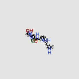 CC1(C)CC(CCCNc2cccc(SNC(=O)c3ccc(-n4ccc(O)n4)nc3Cl)n2)CN1